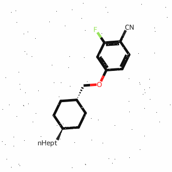 CCCCCCC[C@H]1CC[C@H](COc2ccc(C#N)c(F)c2)CC1